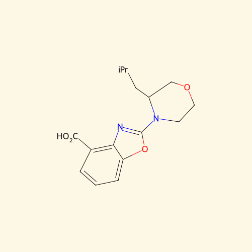 CC(C)CC1COCCN1c1nc2c(C(=O)O)cccc2o1